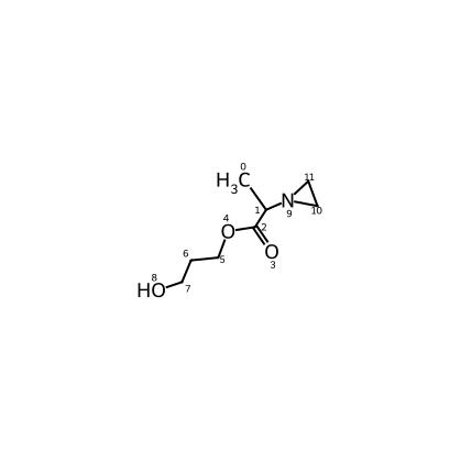 CC(C(=O)OCCCO)N1CC1